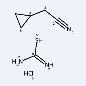 Cl.N#CCC1CC1.N=C(N)S